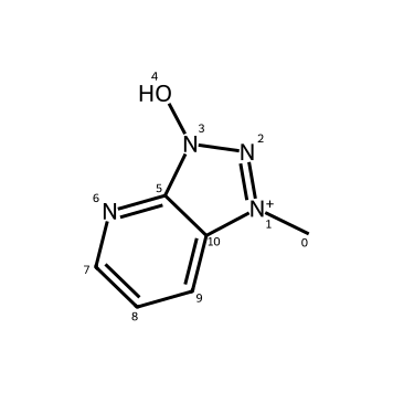 C[n+]1nn(O)c2ncccc21